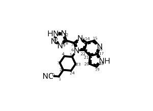 N#CCC1CCC(n2c(-c3nn[nH]n3)nc3cnc4[nH]ccc4c32)CC1